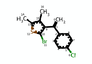 C=C(c1ccc(Cl)cc1)c1c(Br)sc(C)c1C